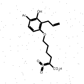 C=CCc1c(OCCCCC(C(=O)O)=S(=O)=O)ccc(C(C)=O)c1O